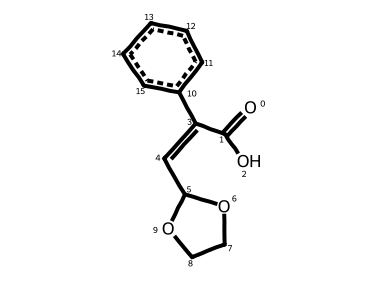 O=C(O)C(=CC1OCCO1)c1ccccc1